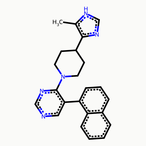 Cc1[nH]cnc1C1CCN(c2ncncc2-c2cccc3ccccc23)CC1